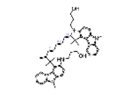 C=C(/C=C/C=C/C=C1/N(CCCO)c2ccc3c(c2C1(C)C)c1ccccc1n3C)C(C)(C)c1c(NCCCO)ccc2c1c1ccccc1n2C